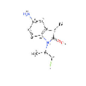 CC(CF)N1C(=O)[CH]([Fe])c2cc(N)ccc21